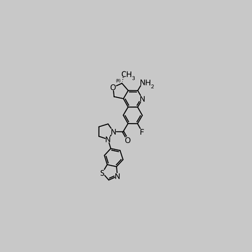 C[C@H]1OCc2c1c(N)nc1cc(F)c(C(=O)N3CCCN3c3ccc4ncsc4c3)cc21